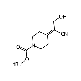 CC(C)(C)OC(=O)N1CCC(=C(C#N)CO)CC1